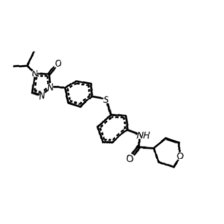 CC(C)n1cnn(-c2ccc(Sc3cccc(NC(=O)C4CCOCC4)c3)cc2)c1=O